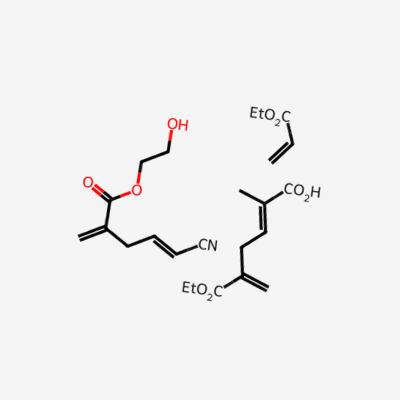 C=C(CC=C(C)C(=O)O)C(=O)OCC.C=C(CC=CC#N)C(=O)OCCO.C=CC(=O)OCC